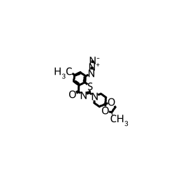 Cc1cc(N=[N+]=[N-])c2sc(N3CCC4(CC3)OC[C@H](C)O4)nc(=O)c2c1